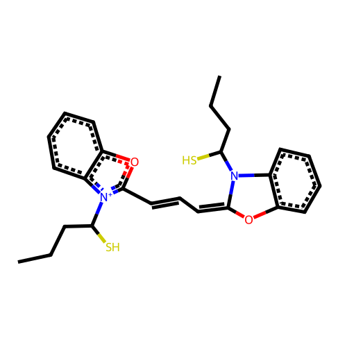 CCCC(S)N1C(=CC=Cc2oc3ccccc3[n+]2C(S)CCC)Oc2ccccc21